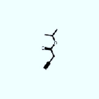 C#CCC(=O)OC(C)C